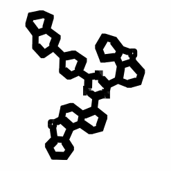 c1ccc2cc(-c3ccc(-c4nc(-c5cccc6c5ccc5oc7ccccc7c56)nc(-c5cccc6oc7ccccc7c56)n4)cc3)ccc2c1